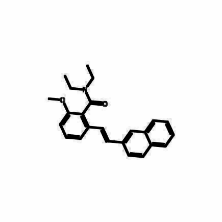 CCN(CC)C(=O)c1c(C=Cc2ccc3ccccc3c2)cccc1OC